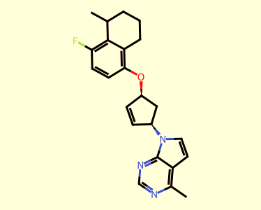 Cc1ncnc2c1ccn2[C@H]1C=C[C@@H](Oc2ccc(F)c3c2CCCC3C)C1